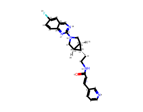 O=C(/C=C/c1cccnc1)NCC[C@@H]1[C@H]2CN(c3ncc4cc(F)ccc4n3)C[C@@H]12